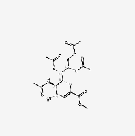 COC(=O)C1=C[C@H](N)[C@@H](NC(C)=O)[C@H]([C@H](OC(C)=O)[C@@H](COC(C)=O)OC(C)=O)O1